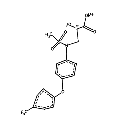 COC(=O)[C@@H](O)CN(c1ccc(Oc2ccc(C(F)(F)F)cc2)cc1)S(C)(=O)=O